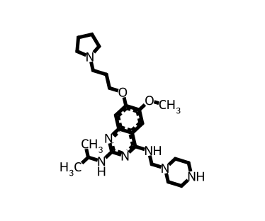 COc1cc2c(NCN3CCNCC3)nc(NC(C)C)nc2cc1OCCCN1CCCC1